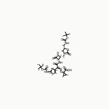 CC(C)(C)OC(=O)NC[C@@H]1CN(C[C@H]2NC(=O)[C@H]2NC(=O)C(=NOC2(C(=O)O)CC2)c2csc(NC(=O)OC(C)(C)C)n2)C(=O)O1